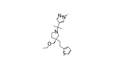 CCOC[C@@]1(CCc2cccs2)CCN(C(C)(C)c2cnn(C)c2)C1